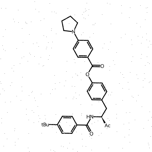 CC(=O)[C@H](Cc1ccc(OC(=O)c2ccc(N3CCCC3)cc2)cc1)NC(=O)c1ccc(C(C)(C)C)cc1